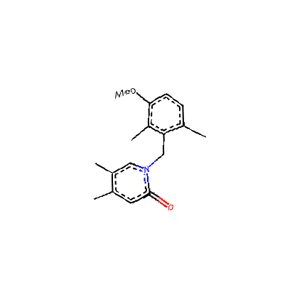 COc1ccc(C)c(Cn2cc(C)c(C)cc2=O)c1C